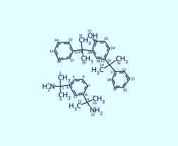 CC(C)(N)c1cccc(C(C)(C)N)c1.CC(C)(c1ccccc1)c1ccc(O)c(C(C)(C)c2ccccc2)c1